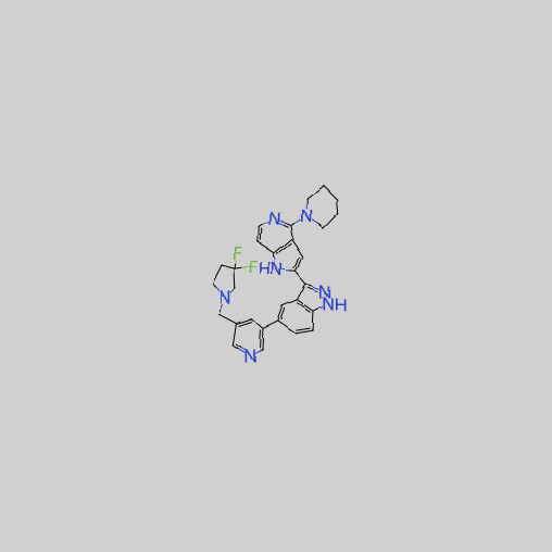 FC1(F)CCN(Cc2cncc(-c3ccc4[nH]nc(-c5cc6c(N7CCCCC7)nccc6[nH]5)c4c3)c2)C1